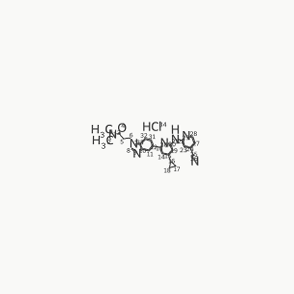 CN(C)C(=O)CCn1cnc2cc(-c3cc(C4CC4)cc(Nc4cc(C#N)ccn4)n3)ccc21.Cl